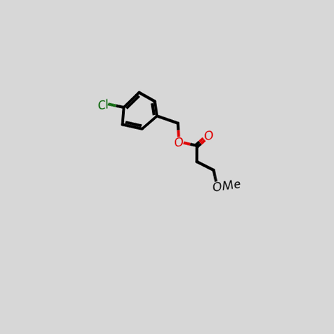 COCCC(=O)OCc1ccc(Cl)cc1